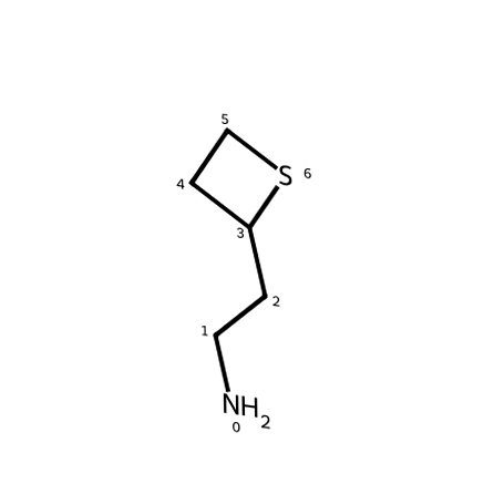 NCCC1CCS1